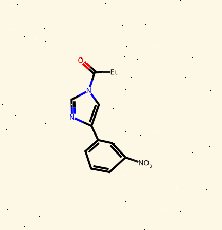 [CH2]CC(=O)n1cnc(-c2cccc([N+](=O)[O-])c2)c1